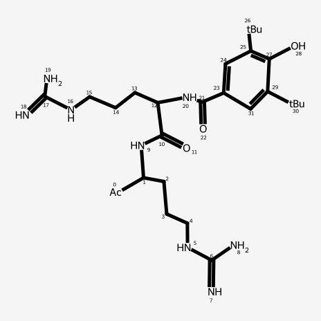 CC(=O)C(CCCNC(=N)N)NC(=O)C(CCCNC(=N)N)NC(=O)c1cc(C(C)(C)C)c(O)c(C(C)(C)C)c1